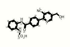 N#Cc1cc(CO)cnc1-c1ccc(C(=O)Nc2ccccc2NC(=O)O)cc1